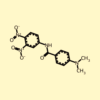 CN(C)c1ccc(C(=O)Nc2ccc([N+](=O)[O-])c([N+](=O)[O-])c2)cc1